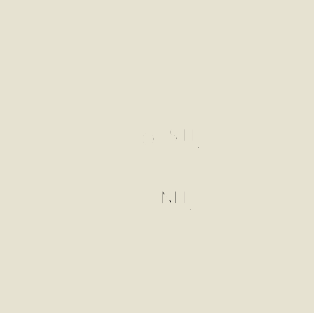 CCO[SiH2]CC.Nc1ccccc1